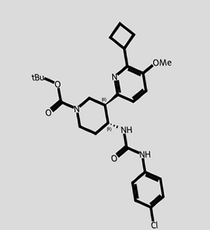 COc1ccc([C@@H]2CN(C(=O)OC(C)(C)C)CC[C@H]2NC(=O)Nc2ccc(Cl)cc2)nc1C1CCC1